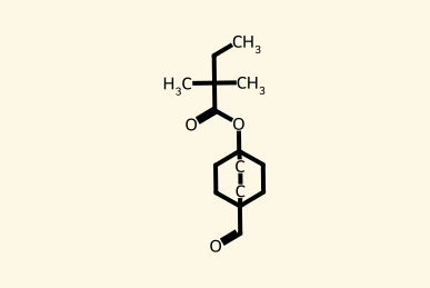 CCC(C)(C)C(=O)OC12CCC(C=O)(CC1)CC2